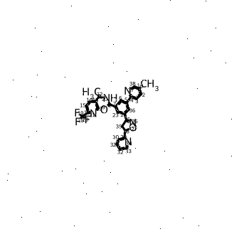 Cc1ccc(-c2cc(C(=O)N[C@@H](C)c3ccc(C(F)(F)F)nc3)cc(C3=NOC(c4ccccn4)C3)c2)nc1